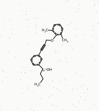 CCC[C@@H](O)c1cccc(C#CCOc2c(C)cccc2C)c1